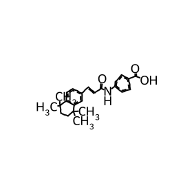 CC1(C)CCC(C)(C)c2cc(C=CC(=O)Nc3ccc(C(=O)O)cc3)ccc21